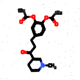 CN1C=CCC(C(=O)CCc2ccc(OC(=O)C(C)(C)C)c(OC(=O)C(C)(C)C)c2)=C1